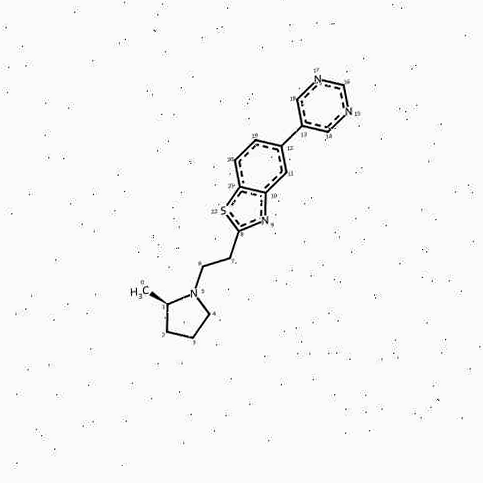 C[C@@H]1CCCN1CCc1nc2cc(-c3cncnc3)ccc2s1